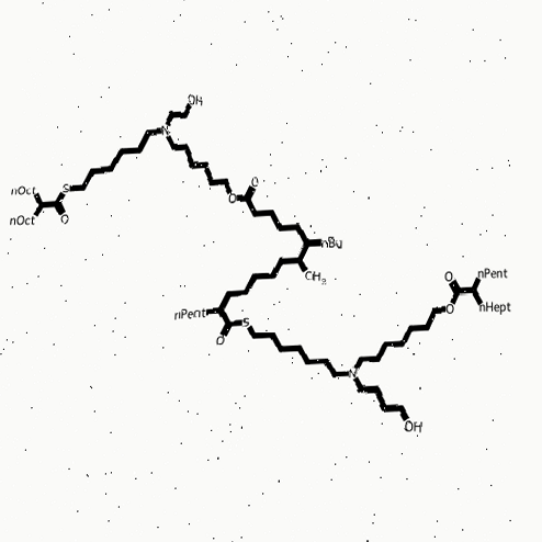 CCCCCCCCC(CCCCCCCC)C(=O)SCCCCCCN(CCO)CCCCCCOC(=O)CCCCC(CCCC)C(C)CCCCCC(CCCCC)C(=O)SCCCCCCCN(CCCCO)CCCCCCCOC(=O)C(CCCCC)CCCCCCC